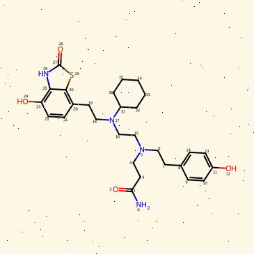 NC(=O)CCN(CCc1ccc(O)cc1)CCN(CCc1ccc(O)c2[nH]c(=O)sc12)C1CCCCC1